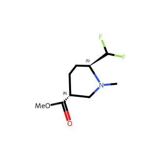 COC(=O)[C@@H]1CC[C@@H](C(F)F)N(C)C1